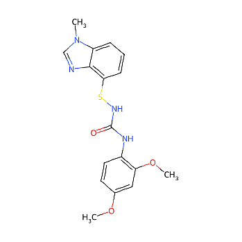 COc1ccc(NC(=O)NSc2cccc3c2ncn3C)c(OC)c1